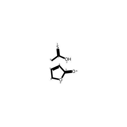 CC(O)=S.O=C1C=CCO1